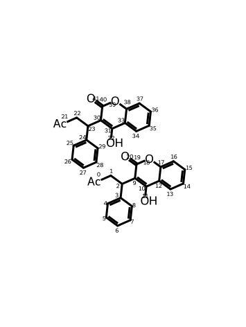 CC(=O)CC(c1ccccc1)c1c(O)c2ccccc2oc1=O.CC(=O)CC(c1ccccc1)c1c(O)c2ccccc2oc1=O